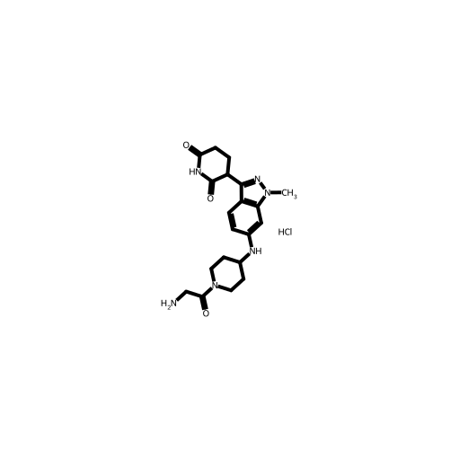 Cl.Cn1nc(C2CCC(=O)NC2=O)c2ccc(NC3CCN(C(=O)CN)CC3)cc21